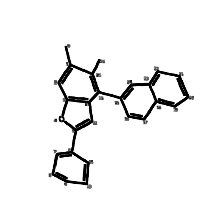 Cc1cc2oc(-c3ccccc3)cc2c(-c2ccc3ccccc3c2)c1C